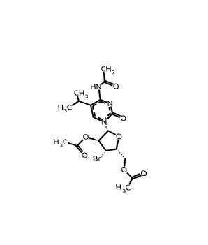 CC(=O)Nc1nc(=O)n([C@@H]2O[C@H](COC(C)=O)[C@H](Br)[C@H]2OC(C)=O)cc1C(C)C